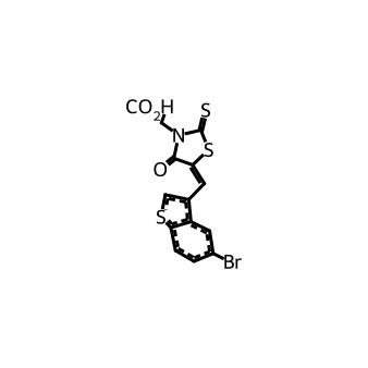 O=C(O)CN1C(=O)/C(=C\c2csc3ccc(Br)cc23)SC1=S